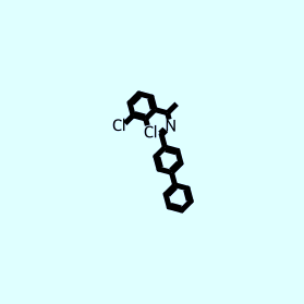 CC(N=Cc1ccc(-c2ccccc2)cc1)c1cccc(Cl)c1Cl